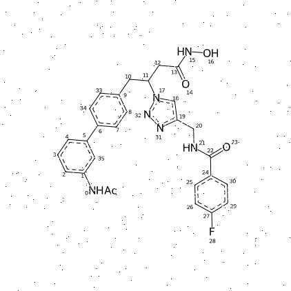 CC(=O)Nc1cccc(-c2ccc(CC(CC(=O)NO)n3cc(CNC(=O)c4ccc(F)cc4)nn3)cc2)c1